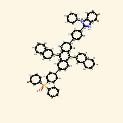 O=P(c1ccccc1)(c1ccccc1)c1ccc(-c2ccc3c(-c4ccc5ccccc5c4)c4cc(-c5ccc(-c6nc7ccccc7n6-c6ccccc6)cc5)ccc4c(-c4ccc5ccccc5c4)c3c2)cc1